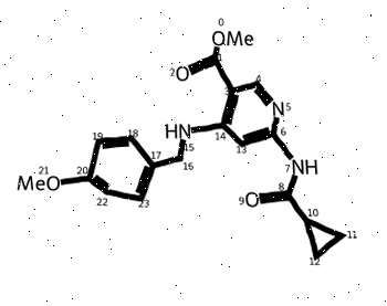 COC(=O)c1cnc(NC(=O)C2CC2)cc1NCc1ccc(OC)cc1